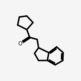 O=C(CC1CCc2ccccc21)C1CCCC1